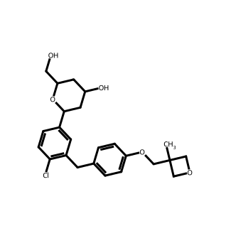 CC1(COc2ccc(Cc3cc(C4CC(O)CC(CO)O4)ccc3Cl)cc2)COC1